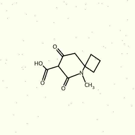 CN1C(=O)C(C(=O)O)C(=O)CC12CCC2